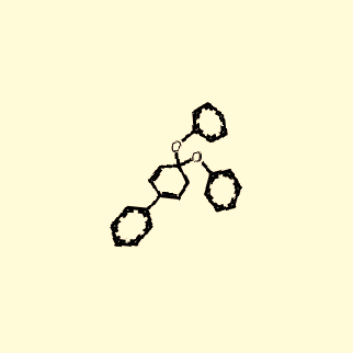 C1=CC(Oc2ccccc2)(Oc2ccccc2)CC=C1c1ccccc1